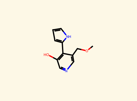 COCc1cncc(O)c1-c1ccc[nH]1